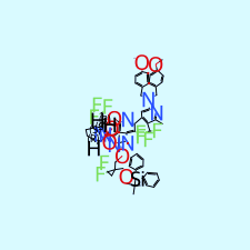 COc1ccc(CN(Cc2ccc(OC)cc2)c2cc(-c3nc4c5c(nc(OCC6(CO[Si](c7ccccc7)(c7ccccc7)C(C)(C)C)CC6(F)F)nc5c3F)N3C[C@H]5CC[C@@H]([C@H]3[C@H](C(F)(F)F)O4)N5C(=O)OC(C)(C)C)c(C(F)(F)F)c(C)n2)cc1